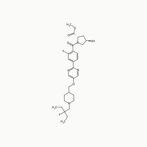 CCC(F)(CC)CN1CCC(COc2cnc(-c3ccc(C(=O)N4C[C@H](O)C[C@H]4C(=O)OC)c(F)c3)nc2)CC1